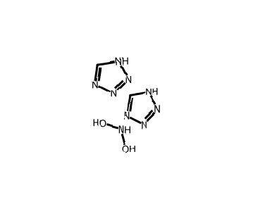 ONO.c1nnn[nH]1.c1nnn[nH]1